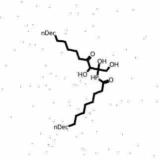 CCCCCCCCCCCCCCCCCC(=O)PC(O)(CO)C(O)C(=O)CCCCCCCCCCCCCCC